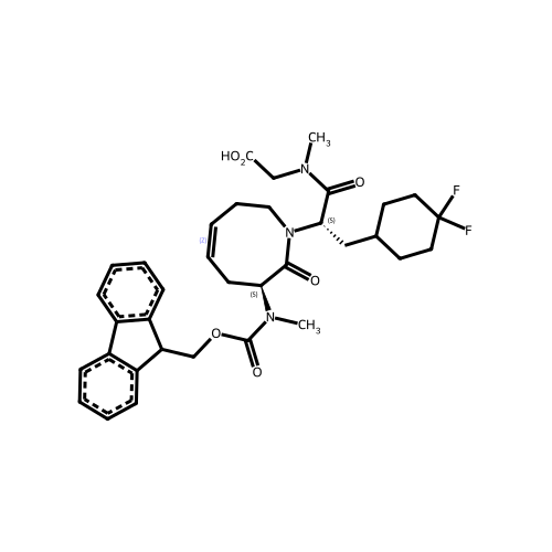 CN(CC(=O)O)C(=O)[C@H](CC1CCC(F)(F)CC1)N1CC/C=C\C[C@H](N(C)C(=O)OCC2c3ccccc3-c3ccccc32)C1=O